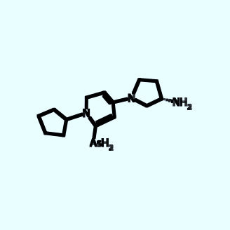 N[C@H]1CCN(C2=CCN(C3CCCC3)C([AsH2])=C2)C1